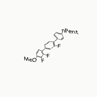 CCCCCc1ccc(-c2ccc(-c3ccc(OC)c(F)c3F)cc2F)cc1